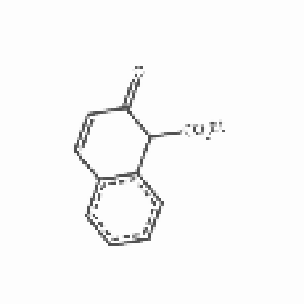 CCOC(=O)C1C(=O)C=Cc2ccccc21